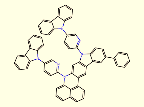 c1ccc(-c2ccc3c(c2)c2cc4c(cc2n3-c2ccc(-n3c5ccccc5c5ccccc53)cn2)N(c2ccc(-n3c5ccccc5c5ccccc53)cn2)c2cccc3cccc-4c23)cc1